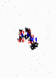 CC(C)(C)OC(=O)N[C@H](Cc1ccc(N(CCO[Si](C)(C)C(C)(C)C)C(=O)CNC(=O)OCC2c3ccccc3-c3ccccc32)cc1)CC(C)(C)C(=O)O